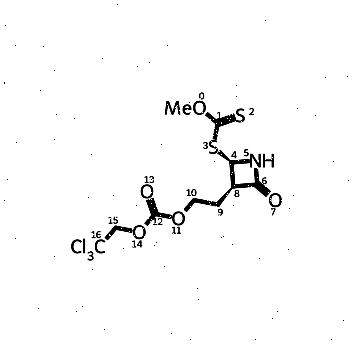 COC(=S)S[C@H]1NC(=O)[C@H]1CCOC(=O)OCC(Cl)(Cl)Cl